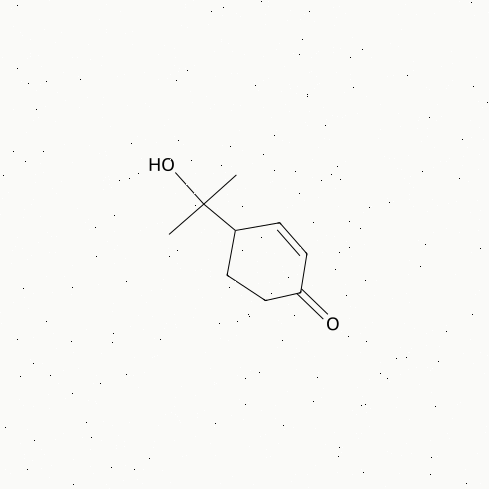 CC(C)(O)C1C=CC(=O)CC1